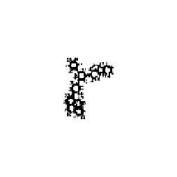 CC1(C)c2cccnc2-c2ncc(-c3cc(-c4ccccc4)nc(-c4ccc(-c5ccc6ccc7cccc8ccc5c6c78)cc4)c3)cc21